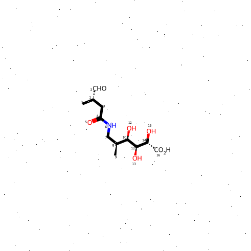 C[C@H](C=O)CC(=O)NC[C@H](C)[C@@H](O)[C@H](O)[C@H](O)C(=O)O